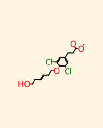 COC(=O)CCc1cc(Cl)c(OCC/C=C/CCO)c(Cl)c1